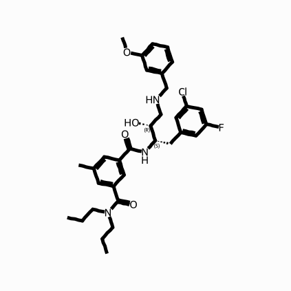 CCCN(CCC)C(=O)c1cc(C)cc(C(=O)N[C@@H](Cc2cc(F)cc(Cl)c2)[C@H](O)CNCc2cccc(OC)c2)c1